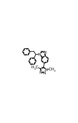 Cc1nnn(C)c1-c1ccc2ncn(C(Cc3ccccc3)c3ccccc3)c2c1